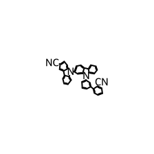 N#Cc1ccc2c(c1)c1ccccc1n2-c1ccc2c3ccccc3n(-c3cccc(-c4ccccc4C#N)c3)c2c1